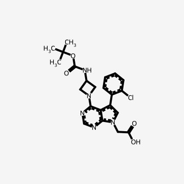 CC(C)(C)OC(=O)NC1CN(c2ncnc3c2c(-c2ccccc2Cl)cn3CC(=O)O)C1